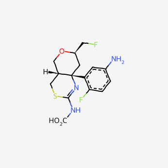 Nc1ccc(F)c([C@]23C[C@H](CF)OC[C@H]2CSC(NC(=O)O)=N3)c1